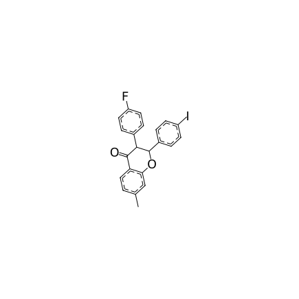 Cc1ccc2c(c1)OC(c1ccc(I)cc1)C(c1ccc(F)cc1)C2=O